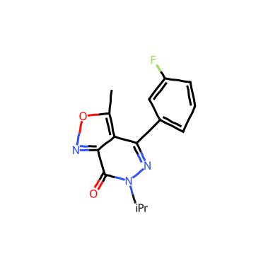 Cc1onc2c(=O)n(C(C)C)nc(-c3cccc(F)c3)c12